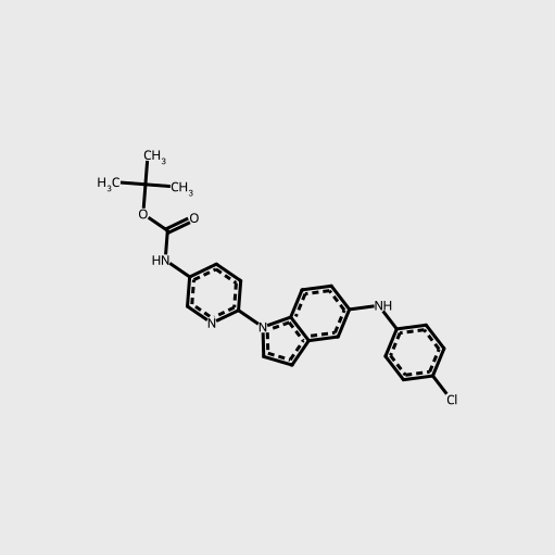 CC(C)(C)OC(=O)Nc1ccc(-n2ccc3cc(Nc4ccc(Cl)cc4)ccc32)nc1